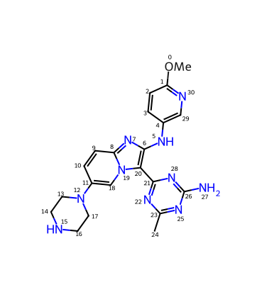 COc1ccc(Nc2nc3ccc(N4CCNCC4)cn3c2-c2nc(C)nc(N)n2)cn1